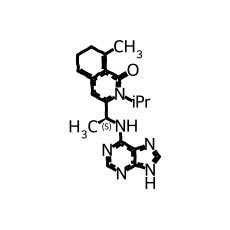 CC1=c2c(cc([C@H](C)Nc3ncnc4[nH]cnc34)n(C(C)C)c2=O)=CCC1